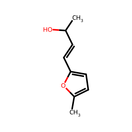 Cc1ccc(/C=C/C(C)O)o1